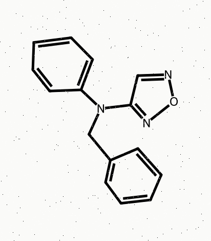 c1ccc(CN(c2ccccc2)c2cnon2)cc1